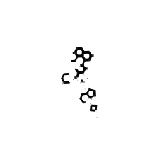 CCc1c(F)ccc2cc(O)cc(-c3ncc4c(N5CCC[C@@H](C)C5)nc(OC[C@]56CCC[C@H]5N(C5CC(OC)C5)CCC6)nc4c3F)c12